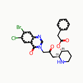 O=C(C[C@@H]1NCCC[C@H]1OC(=O)Cc1ccccc1)Cn1cnc2cc(Br)c(Cl)cc2c1=O